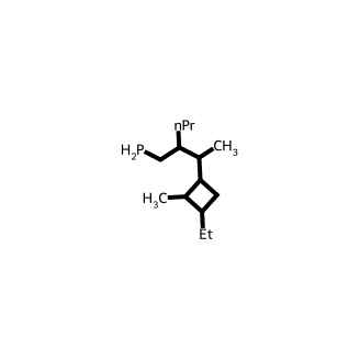 CCCC(CP)C(C)C1CC(CC)C1C